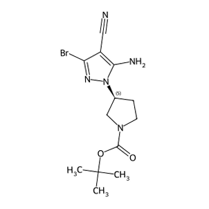 CC(C)(C)OC(=O)N1CC[C@H](n2nc(Br)c(C#N)c2N)C1